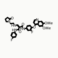 COc1cc2nccc(Oc3ccc(NC(=O)/C(=C/NCCN4CCCC4=O)C(=O)Nc4ccc(F)cc4)cc3F)c2cc1OC